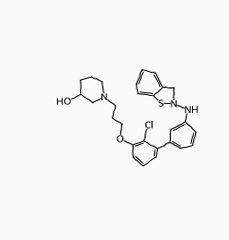 OC1CCCN(CCCOc2cccc(-c3cccc(NN4Cc5ccccc5S4)c3)c2Cl)C1